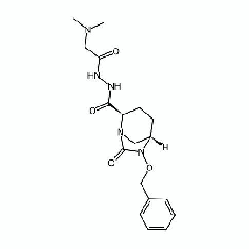 CN(C)CC(=O)NNC(=O)[C@H]1CC[C@H]2CN1C(=O)N2OCc1ccccc1